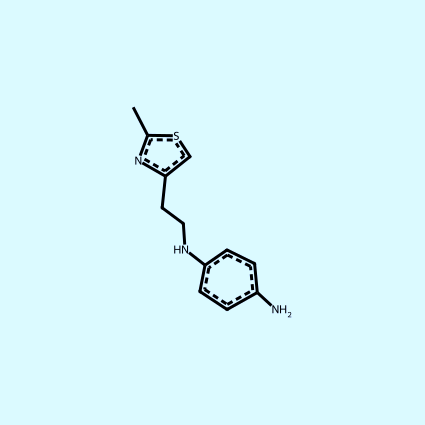 Cc1nc(CCNc2ccc(N)cc2)cs1